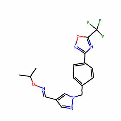 CC(C)ON=Cc1cnn(Cc2ccc(-c3noc(C(F)(F)F)n3)cc2)c1